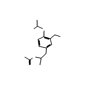 CC(Cc1ccc(OC(F)F)c(CO)c1)OC(=O)O